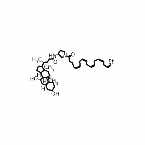 CC/C=C\C/C=C\C/C=C\C/C=C\C/C=C\CCCC(=O)N1CC[C@@H](NC(=O)CC[C@@H](C)C2CC[C@H]3[C@@H]4[C@H](O)C[C@@H]5C[C@H](O)CC[C@]5(C)[C@H]4CC[C@]23C)C1